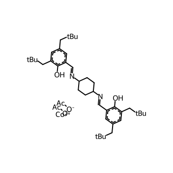 CC(=O)[O-].CC(=O)[O-].CC(C)(C)Cc1cc(C=NC2CCC(N=Cc3cc(CC(C)(C)C)cc(CC(C)(C)C)c3O)CC2)c(O)c(CC(C)(C)C)c1.[Co+2]